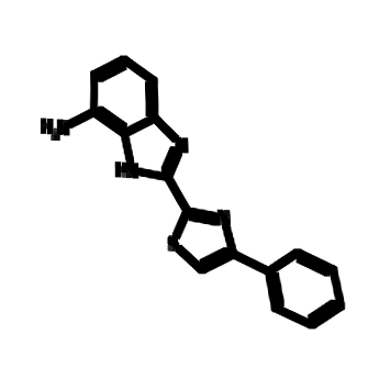 Nc1cccc2nc(-c3nc(-c4ccccc4)cs3)[nH]c12